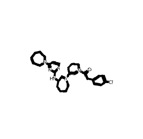 O=C(Cc1ccc(Cl)cc1)N1CCCC(N2CCCCC(Nc3nccc(N4CCCCCC4)n3)C2)C1